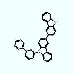 C1=CC(c2ccccc2)CC(n2c3ccccc3c3cc(-c4ccc5[nH]c6ccccc6c5c4)ccc32)=C1